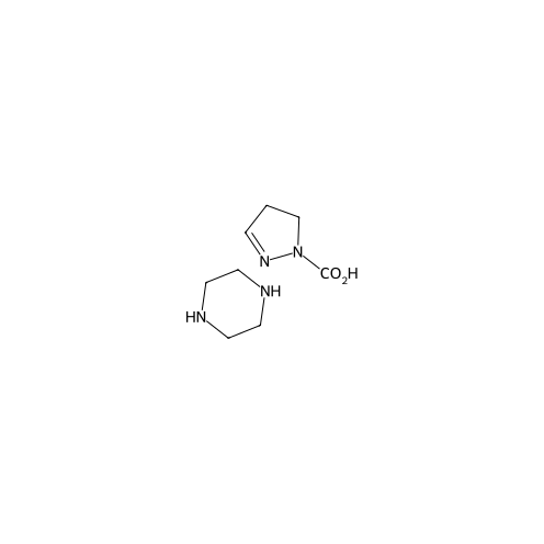 C1CNCCN1.O=C(O)N1CCC=N1